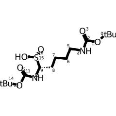 CC(C)(C)OC(=O)NCCCC[C@H](NC(=O)OC(C)(C)C)S(=O)O